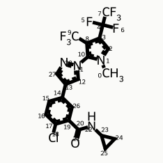 Cn1cc(C(F)(F)C(F)(F)F)c(C(F)(F)F)c1-n1cc(-c2ccc(Cl)c(C(=O)NC3CC3)c2)cn1